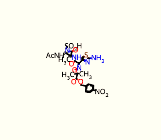 CC(=O)N[C@@H]1N(S(=O)(=O)O)C(=O)[C@]1(C)NC(=O)C(=NOC(C)(C)C(=O)OCc1ccc([N+](=O)[O-])cc1)c1csc(N)n1